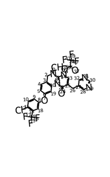 CN(Cc1ccc(Oc2ccc(Cl)c(C(F)(F)F)c2)cc1)c1nc(=O)c(Cc2cncnc2)cn1OC(=O)C(F)(F)F